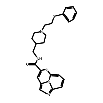 O=C(NCC1CCN(CCSc2ccccc2)CC1)C1=Cc2cnc3cccc(n23)S1